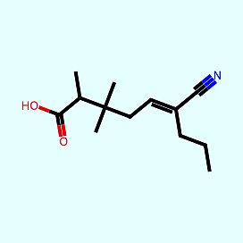 CCC/C(C#N)=C\CC(C)(C)C(C)C(=O)O